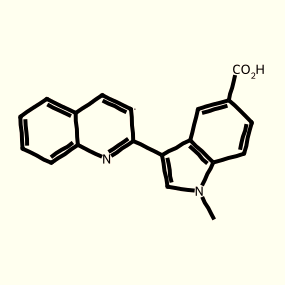 Cn1cc(-c2[c]cc3ccccc3n2)c2cc(C(=O)O)ccc21